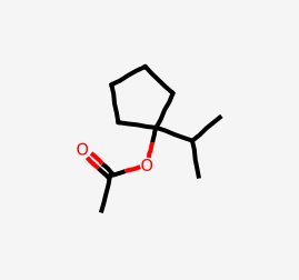 CC(=O)OC1(C(C)C)CCCC1